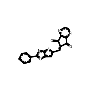 O=C1C(=Cc2cc3oc(-c4ccccc4)nc3s2)C(=O)c2nccnc21